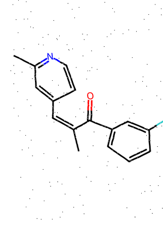 C/C(=C/c1ccnc(C)c1)C(=O)c1cccc(F)c1